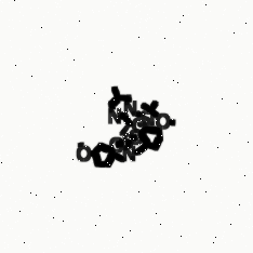 COc1ccc(CN(Cc2ccc(OC)cc2)S(=O)(=O)C[C@H](O[Si](C)(C)C(C)(C)C)c2ncc(C)cn2)cc1